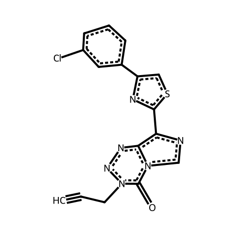 C#CCn1nnc2c(-c3nc(-c4cccc(Cl)c4)cs3)ncn2c1=O